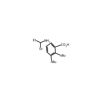 CCC(N)CC.CCCCc1cccc(C(=O)O)c1CCCC